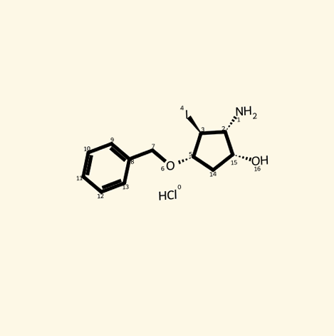 Cl.N[C@H]1[C@H](I)[C@@H](OCc2ccccc2)C[C@H]1O